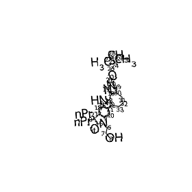 CCCC1(CCC)C(=O)N(CCO)c2cc3c4c([nH]c3cc21)-c1nn(COCC[Si](C)(C)C)cc1CCC4